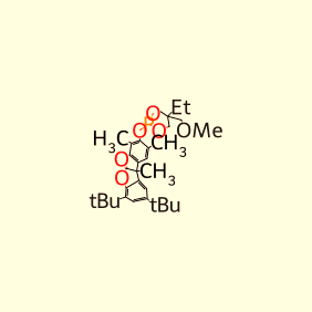 CCC1(COC)COP(Oc2c(C)cc(C3(C)C(=O)Oc4c(C(C)(C)C)cc(C(C)(C)C)cc43)cc2C)OC1